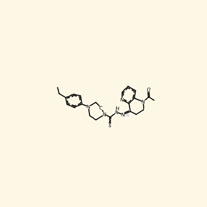 CCc1ccc(N2CCN(C(=S)N/N=C3/CCN(C(C)=O)c4cccnc43)CC2)cc1